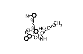 COCCOC[C@@H](O)CO[C@@H]1CNC[C@H](OCc2cc(OC)c3ccccc3c2)[C@H]1c1ccc(OCCCOc2ccccc2C#N)cc1